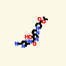 CC(C)OC(=O)C1CCN(c2ccc3c(O)c(C(=O)NCc4ccc(C#N)nc4)ncc3n2)CC1